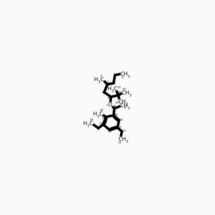 CCCC(C)CC(OC(C)c1cc(CC)cc(CC)c1C)C(C)(C)C